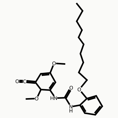 CCCCCCCCCCOc1ccccc1NC(=O)NC1=CC(OC)=CC(=C=O)C1OC